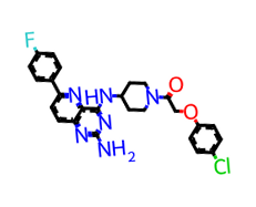 Nc1nc(NC2CCN(C(=O)COc3ccc(Cl)cc3)CC2)c2nc(-c3ccc(F)cc3)ccc2n1